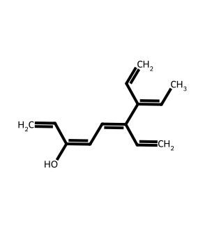 C=C\C(O)=C/C=C(C=C)/C(C=C)=C/C